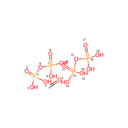 C=O.O=P(O)(O)OP(=O)(O)O.O=P(O)(O)OP(=O)(O)O